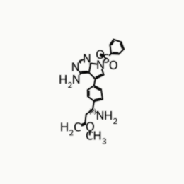 C=C(C[C@@H](N)c1ccc(-c2cn(S(=O)(=O)c3ccccc3)c3ncnc(N)c23)cc1)OC